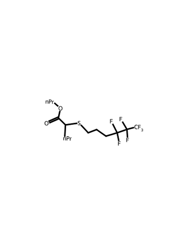 CCCOC(=O)C(CCC)SCCCC(F)(F)C(F)(F)C(F)(F)F